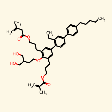 C=C(C)CC(=O)OCCCc1cc(-c2ccc(-c3ccc(CCCCC)cc3)cc2CC)cc(CCCOC(=O)C(=C)C)c1OCCC(CO)CO